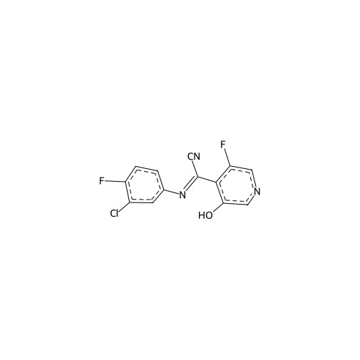 N#C/C(=N\c1ccc(F)c(Cl)c1)c1c(O)cncc1F